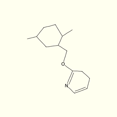 CC1CCC(C)C(COC2=NC=CCC2)C1